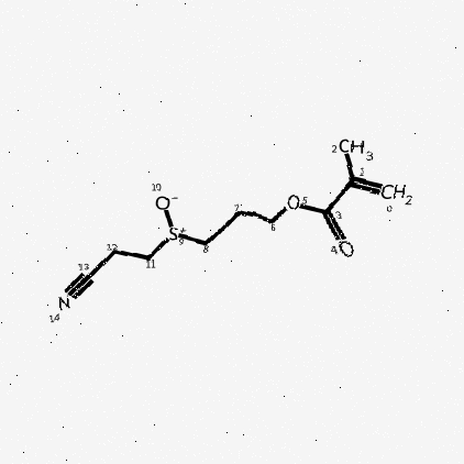 C=C(C)C(=O)OCCC[S+]([O-])CCC#N